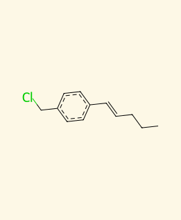 CCCC=Cc1ccc(CCl)cc1